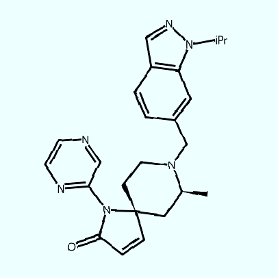 CC(C)n1ncc2ccc(CN3CC[C@]4(C=CC(=O)N4c4cnccn4)C[C@@H]3C)cc21